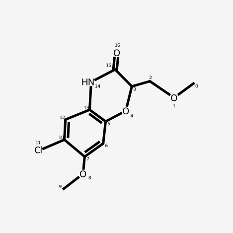 COCC1Oc2cc(OC)c(Cl)cc2NC1=O